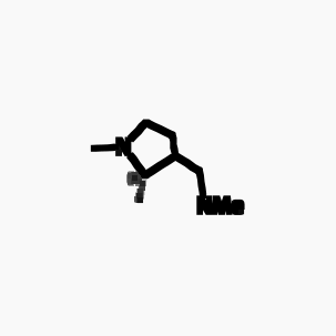 CNCC1CCN(C)[C@H]1C